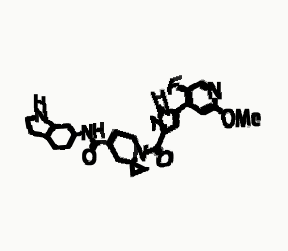 COc1cc(-c2cc(C(=O)N3CC[C@H](C(=O)N[C@H]4CCC5CCNC5C4)CC34CC4)n[nH]2)c(F)cn1